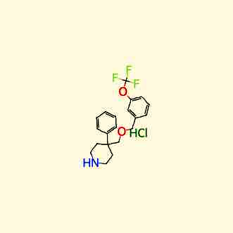 Cl.FC(F)(F)Oc1cccc(COCC2(c3ccccc3)CCNCC2)c1